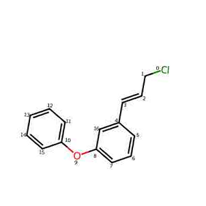 ClCC=Cc1cccc(Oc2ccccc2)c1